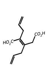 C=CCC(CC(=O)O)=C(CC=C)C(=O)O